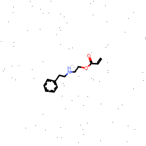 C=CC(=O)OCCNCCc1ccccc1